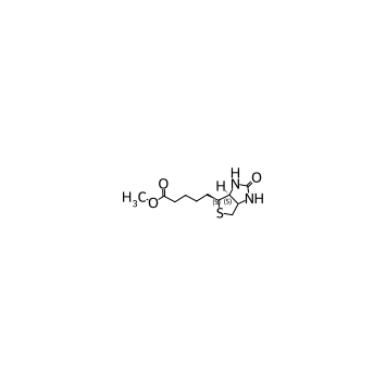 COC(=O)CCCC[C@@H]1SCC2NC(=O)N[C@@H]21